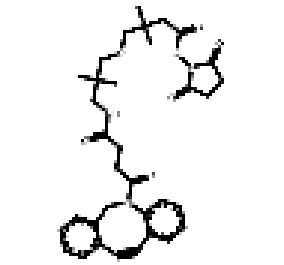 CC(C)(CNC(=O)CCC(=O)N1Cc2ccccc2C#Cc2ccccc21)COCC(C)(C)CC(=O)ON1C(=O)CCC1=O